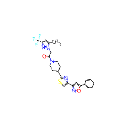 Cc1cc(C(F)(F)F)nn1CC(=O)N1CCC(c2nc(-c3cc(C4=CCCC=C4)on3)cs2)CC1